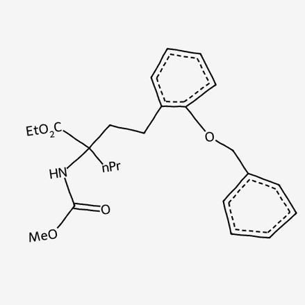 CCCC(CCc1ccccc1OCc1ccccc1)(NC(=O)OC)C(=O)OCC